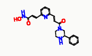 O=C(C=Cc1cccc(C=CC(=O)N2CCNC(c3ccccc3)C2)n1)NO